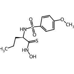 CCC[C@@H](NS(=O)(=O)c1ccc(OC)cc1)C(=S)NO